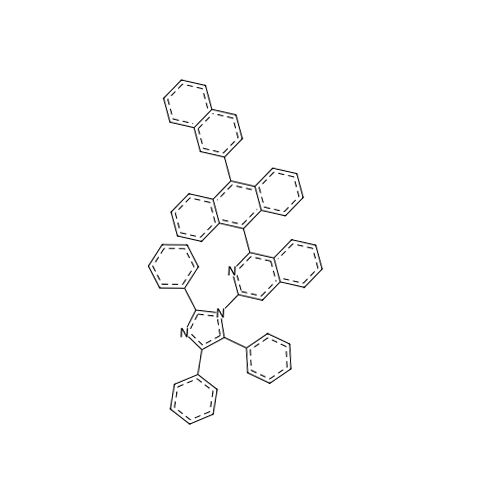 c1ccc(-c2nc(-c3ccccc3)n(-c3cc4ccccc4c(-c4c5ccccc5c(-c5ccc6ccccc6c5)c5ccccc45)n3)c2-c2ccccc2)cc1